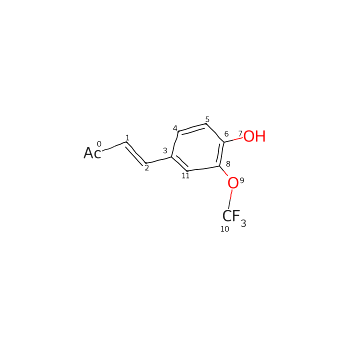 CC(=O)/C=C/c1ccc(O)c(OC(F)(F)F)c1